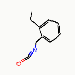 CCc1ccccc1CN=C=O